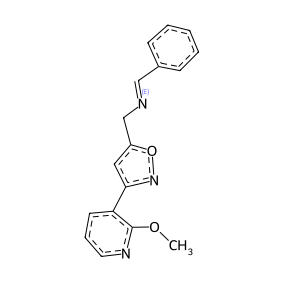 COc1ncccc1-c1cc(C/N=C/c2ccccc2)on1